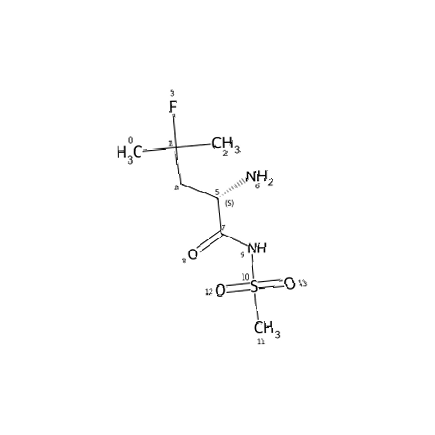 CC(C)(F)C[C@H](N)C(=O)NS(C)(=O)=O